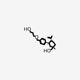 C=C(C)[C@@H]1CC[C@](C)(CO)C[C@H]1c1ccc(COCCCO)cc1